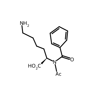 CC(=O)N(C(=O)c1ccccc1)[C@H](CCCCN)C(=O)O